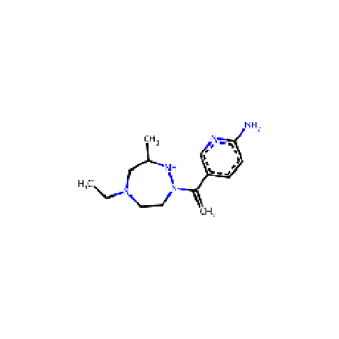 C=C(c1ccc(N)nc1)N1CCN(CC)CC(C)N1